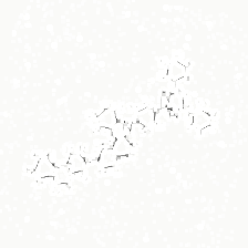 c1ccc(-c2cc(-c3ccccc3)nc(-c3ccc(-n4c5ccccc5c5c6cc(-c7ccc8c(ccc9ccccc98)c7)ccc6ccc54)cc3)n2)cc1